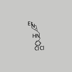 CCN1CC2C(CNCc3ccc(Cl)c(Cl)c3)C2C1